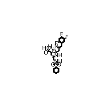 N[C@@H](CC(=O)N[C@@H](CCC(=O)O)CNS(=O)(=O)c1ccccc1)Cc1cc(F)c(F)cc1F